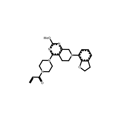 C=CC(=O)N1CCN(c2nc(OC)nc3c2CCN(c2cccc4c2OCC4)C3)CC1